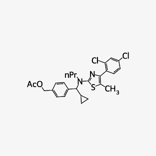 CCCN(c1nc(-c2ccc(Cl)cc2Cl)c(C)s1)C(c1ccc(COC(C)=O)cc1)C1CC1